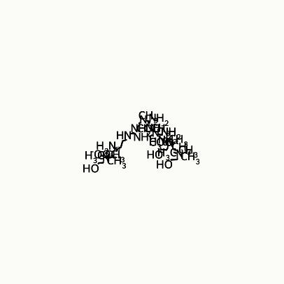 CN(CC(=O)[O-])C(=N)N.CN(CC(=O)[O-])C(=N)N.C[N+](C)(C)CCO.C[N+](C)(C)CCO.C[N+](C)(C)CCO.N=C(N)NCCC[C@H](N)C(=O)[O-]